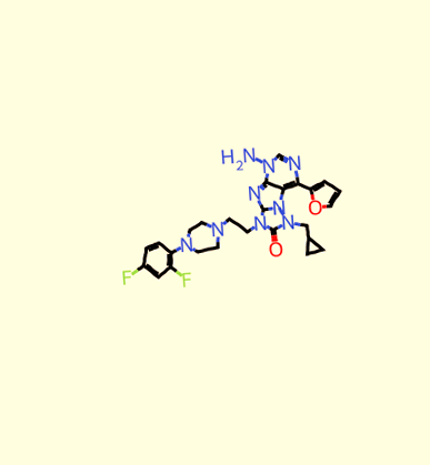 NN1C=NC(c2ccco2)=C2C1=NC1N(CCN3CCN(c4ccc(F)cc4F)CC3)C(=O)N(CC3CC3)N21